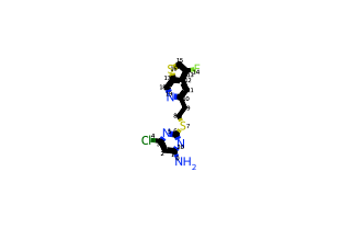 Nc1cc(Cl)nc(SCCc2cc3c(F)csc3cn2)n1